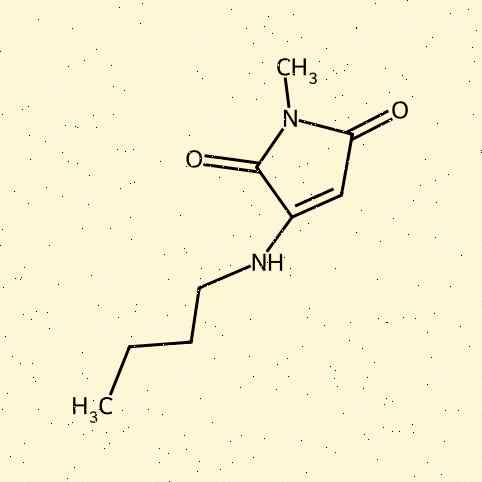 CCCCNC1=CC(=O)N(C)C1=O